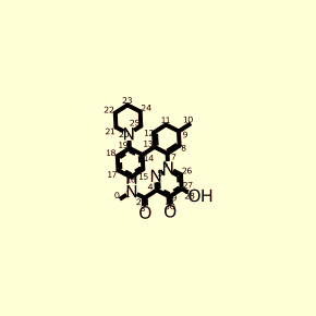 CNC(=O)c1nn(C2=CC(C)CC=C2c2ccccc2N2CCCCC2)cc(O)c1=O